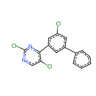 Clc1cc(-c2ccccc2)cc(-c2nc(Cl)ncc2Cl)c1